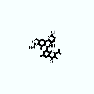 Cc1cc(C(C)Nc2ccc(Cl)nc2-c2cc(C)c3c(c2)COB3O)c2oc(C(C)C)c(C)c(=O)c2c1